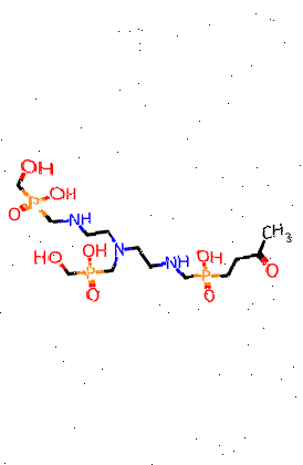 CC(=O)CCP(=O)(O)CNCCN(CCNCP(=O)(O)CO)CP(=O)(O)CO